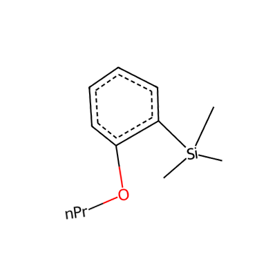 CCCOc1ccccc1[Si](C)(C)C